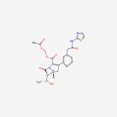 C[C@@H](O)[C@H]1C(=O)N2C(C(=O)OCOC(=O)C(C)(C)C)=C(c3cccc(CC(=O)Nc4nccs4)c3)C[C@H]12